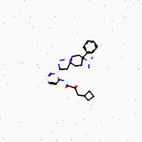 CN(C)C1(c2ccccc2)CCC2(CC1)C[C@@H](N1C=NC=CC1NC(=O)C(=O)CC1CCC1)NN2